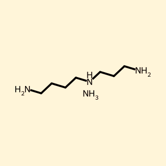 N.NCCCCNCCCN